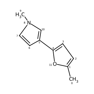 Cc1ccc(-c2ccn(C)c2)o1